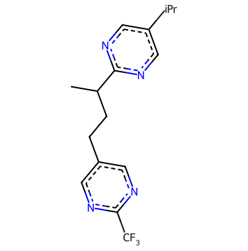 CC(C)c1cnc(C(C)CCc2cnc(C(F)(F)F)nc2)nc1